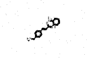 CNCc1ccc(/C=C/C(=O)Nc2ccccc2N)cc1